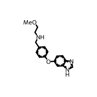 COCCNCc1ccc(Oc2ccc3nc[nH]c3c2)cc1